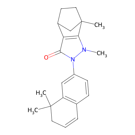 Cn1c2c(c(=O)n1-c1ccc3c(c1)C(C)(C)CC=C3)C1CCC2(C)C1